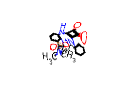 CN(C)S(=O)(=O)c1cccc(Nc2c(NC3(C)CCCCC3)c(=O)c2=O)c1